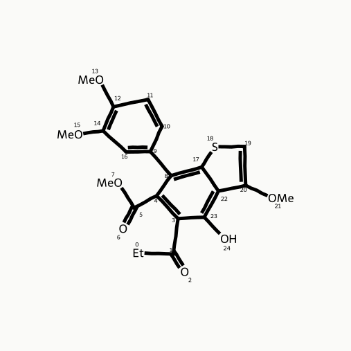 CCC(=O)c1c(C(=O)OC)c(-c2ccc(OC)c(OC)c2)c2scc(OC)c2c1O